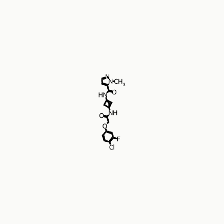 Cn1nccc1C(=O)NC12CC(NC(=O)COc3ccc(Cl)c(F)c3)(C1)C2